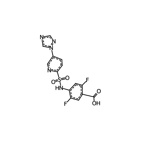 O=C(O)c1cc(F)c(NS(=O)(=O)c2ccc(-n3cncn3)cn2)cc1F